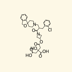 O=C(O)CC(O)(CC(=O)OC1CN(C(=O)C(Cc2ccccc2Cl)CN2CCC3(CC2)OCc2ccccc23)C1)C(=O)O